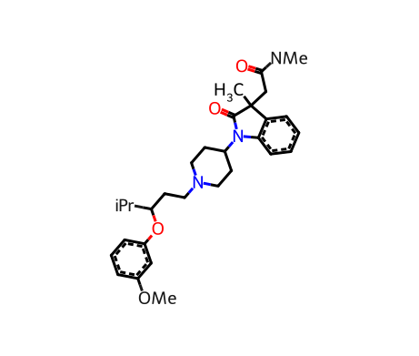 CNC(=O)CC1(C)C(=O)N(C2CCN(CCC(Oc3cccc(OC)c3)C(C)C)CC2)c2ccccc21